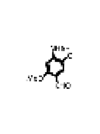 COc1cc(NC(C)=O)c(Cl)cc1C=O